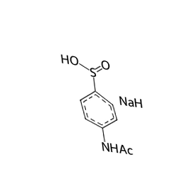 CC(=O)Nc1ccc(S(=O)O)cc1.[NaH]